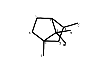 [CH2]C1CC2(C)CCC1C2(C)C